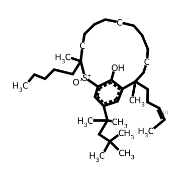 C/C=C\CCC1(C)CCCCCCCCCCC(C)(CCCCC)[S+]([O-])c2cc(C(C)(C)CC(C)(C)C)cc1c2O